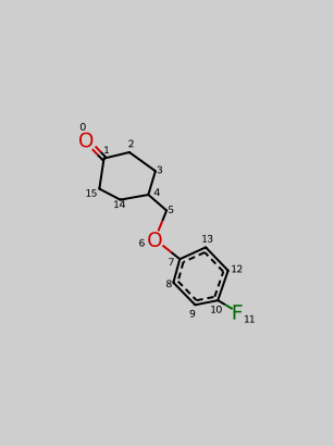 O=C1CCC(COc2ccc(F)cc2)CC1